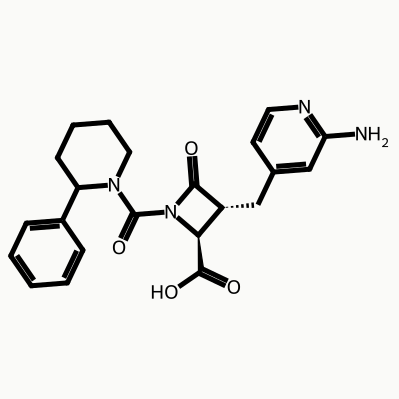 Nc1cc(C[C@H]2C(=O)N(C(=O)N3CCCCC3c3ccccc3)[C@@H]2C(=O)O)ccn1